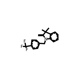 C=C1N(Cc2ccc(C(F)(F)F)cc2)c2ccccc2C1(C)C